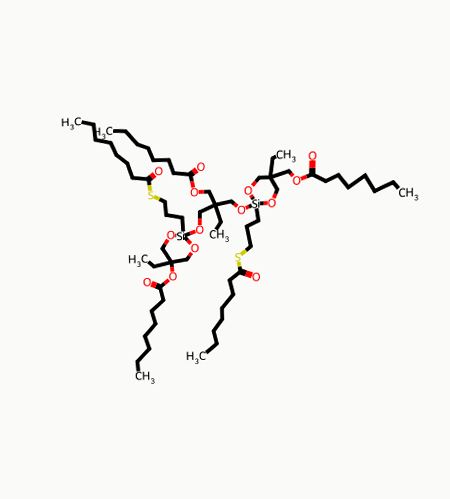 CCCCCCCC(=O)OCC1(CC)CO[Si](CCCSC(=O)CCCCCCC)(OCC(CC)(COC(=O)CCCCCCC)CO[Si]2(CCCSC(=O)CCCCCCC)OCC(CC)(OC(=O)CCCCCCC)CO2)OC1